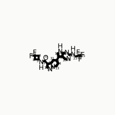 O=C(NC1CC(F)(F)C1)c1cnn2ccc(-c3c[nH]c4nc(NCC(F)(F)F)ncc34)cc12